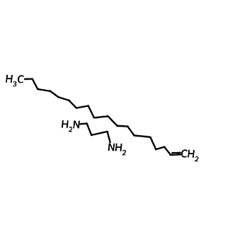 C=CCCCCCCCCCCCCCCCC.NCCCN